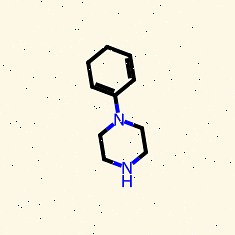 C1=CC(N2CCNCC2)=CCC1